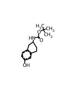 CC(C)(C)OC(=O)NC1CCc2cc(O)ccc2C1